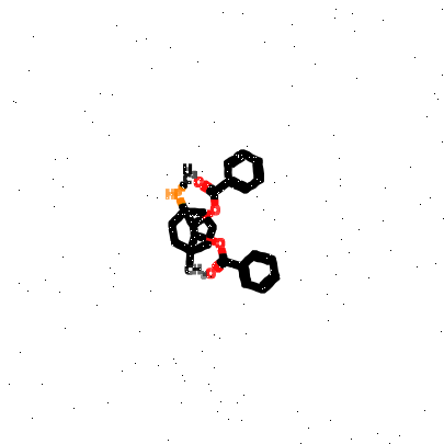 CPC12CCCC(C)(CC1)C(OC(=O)c1ccccc1)C2OC(=O)c1ccccc1